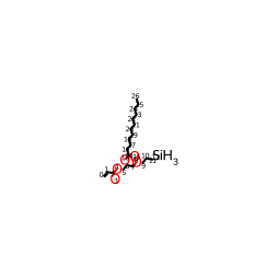 C=CC(=O)OCC(COCCC[SiH3])OC(=O)CCCCCCCCCCC